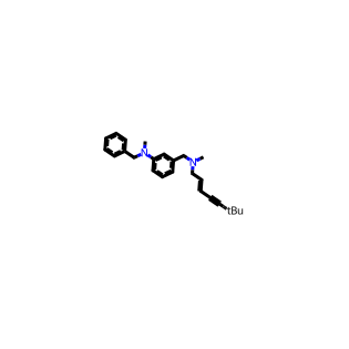 CN(CC=CC#CC(C)(C)C)Cc1cccc(N(C)Cc2ccccc2)c1